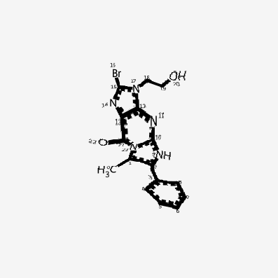 Cc1c(-c2ccccc2)[nH]c2nc3c(nc(Br)n3CCO)c(=O)n12